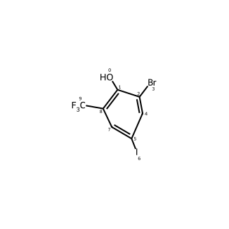 Oc1c(Br)cc(I)cc1C(F)(F)F